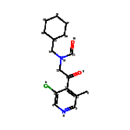 Cc1cncc(Cl)c1C(=O)CN(C=O)CC1CCCCC1